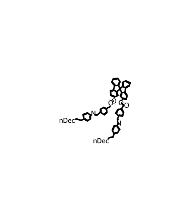 CCCCCCCCCCCCc1ccc(/N=C/c2ccc(COOc3ccc4c(c3)C3(c5ccccc5-4)c4ccccc4-c4ccc(OC(=O)c5ccc(/C=N/c6ccc(CCCCCCCCCCCC)cc6)cc5)cc43)cc2)cc1